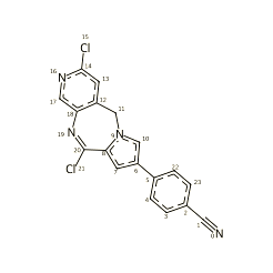 N#Cc1ccc(-c2cc3n(c2)Cc2cc(Cl)ncc2N=C3Cl)cc1